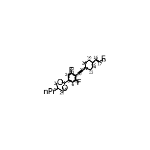 CCCC1COC(c2cc(F)c(C#CC3CCC(C=CF)CC3)c(F)c2)OC1